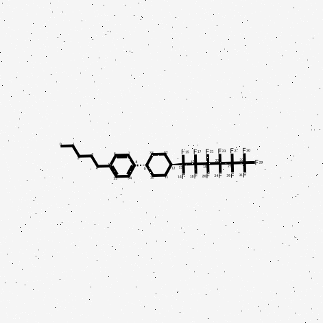 CCCCCc1ccc([C@H]2CC[C@H](C(F)(F)C(F)(F)C(F)(F)C(F)(F)C(F)(F)C(F)(F)F)CC2)cc1